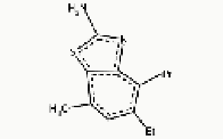 CCc1cc(C)c2sc(N)nc2c1C(C)C